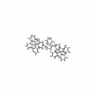 c1ccc(C2(c3ccccc3)c3ccccc3Oc3cc(-c4ccc(-c5ccc6c(c5)C5(c7ccccc7-c7ccccc75)c5ccccc5-6)c5ccccc45)ccc32)cc1